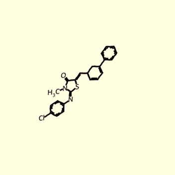 CN1C(=O)/C(=C/C2C=CC=C(c3ccccc3)C2)S/C1=N/c1ccc(Cl)cc1